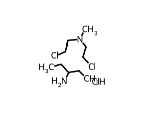 CCC(N)CC.CN(CCCl)CCCl.Cl